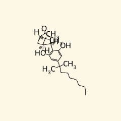 CC(C)(CCCCCCI)c1cc(O)c([C@@H]2CC(=O)[C@@H]3C[C@H]2C3(C)C)c(O)c1